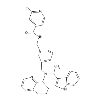 CC(c1c[nH]c2ccccc12)N(Cc1cccc(CNC(=O)c2ccnc(Cl)c2)c1)C1CCCc2cccnc21